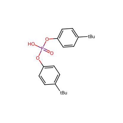 CC(C)(C)c1ccc(OP(=O)(O)Oc2ccc(C(C)(C)C)cc2)cc1